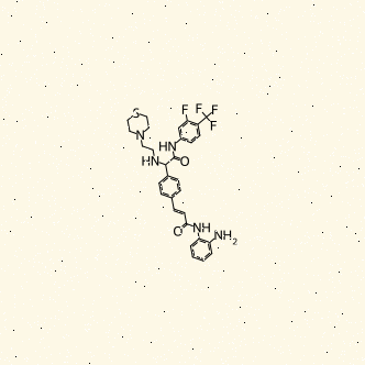 Nc1ccccc1NC(=O)C=Cc1ccc(C(NCCN2CCSCC2)C(=O)Nc2ccc(C(F)(F)F)c(F)c2)cc1